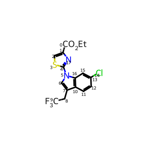 CCOC(=O)c1csc(-n2cc(CC(F)(F)F)c3ccc(Cl)cc32)n1